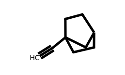 C#CC12CCC(CC1)C2